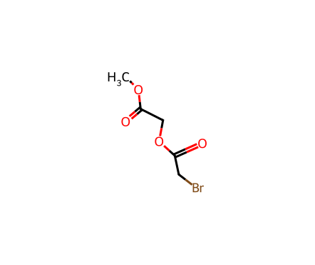 COC(=O)COC(=O)CBr